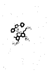 CCCCc1cc(OC)cc2c1op(OCP1C(c3ccccc3)CC[C@H]1c1ccccc1)oc1c(I)cc(OC)cc12